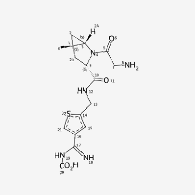 C[C@@]12C[C@@H]1N(C(=O)CN)[C@H](C(=O)NCc1cc(C(=N)NC(=O)O)cs1)C2